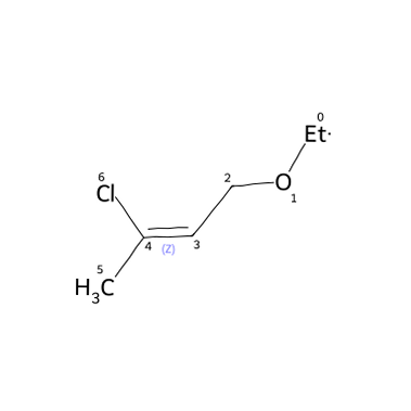 C[CH]OC/C=C(/C)Cl